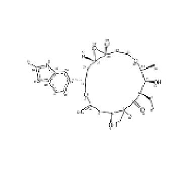 CC[C@H]1C(=O)C(C)(C)[C@@H](O)CC(=O)O[C@H](c2ccc3sc(C)nc3c2)C[C@@H]2O[C@]2(Cl)CCO[C@@H](C)[C@H]1O